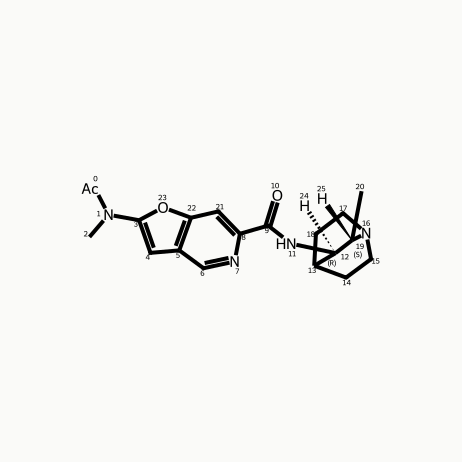 CC(=O)N(C)c1cc2cnc(C(=O)N[C@@H]3C4CCN(CC4)[C@H]3C)cc2o1